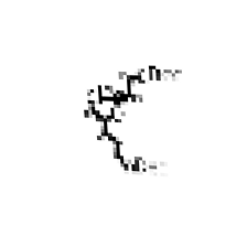 CCCCCCCCCCCCCC(CC=O)OC(=O)CCCCCCCCCCCC